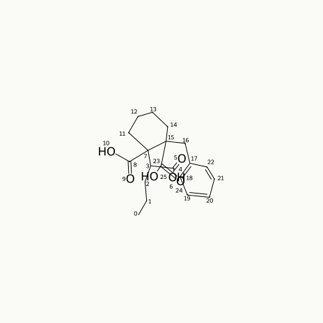 CCCC(C(=O)O)C1(C(=O)O)CCCCC1(Cc1ccccc1)C(=O)O